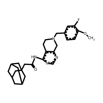 COc1ccc(CN2CCc3c(ncnc3NC(=O)CC34CC5CC(CC(C5)C3)C4)C2)cc1F